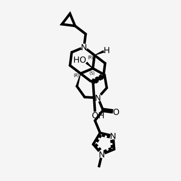 Cn1cnc(CC(=O)N2CC[C@]34CCN(CC5CC5)[C@H](Cc5ccc(O)cc53)[C@]4(O)CC2)c1